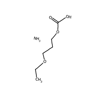 CCOCCCOC(=O)O.N